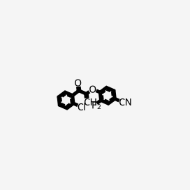 C=C(Oc1ccc(C#N)cc1F)C(=O)c1ccccc1Cl